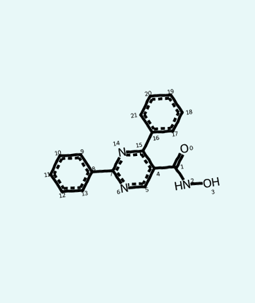 O=C(NO)c1cnc(-c2ccccc2)nc1-c1ccccc1